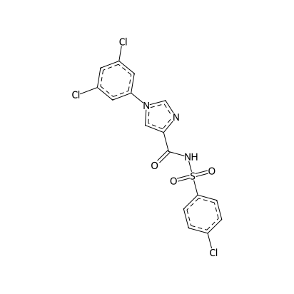 O=C(NS(=O)(=O)c1ccc(Cl)cc1)c1cn(-c2cc(Cl)cc(Cl)c2)cn1